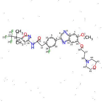 COc1cc2ncc(-c3ccc(CC(=O)Nc4cc(C(C)(C)C(F)(F)F)on4)c(F)c3)nc2cc1OCCCN1CCOCC1